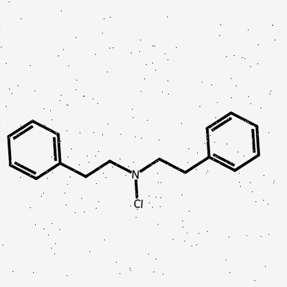 ClN(CCc1ccccc1)CCc1ccccc1